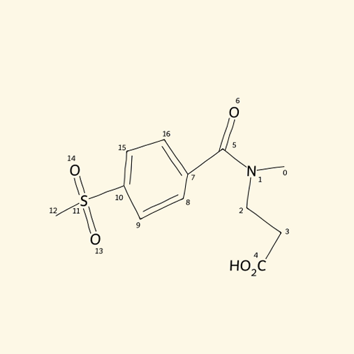 CN(CCC(=O)O)C(=O)c1ccc(S(C)(=O)=O)cc1